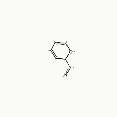 [N]=NC1C=CC=CO1